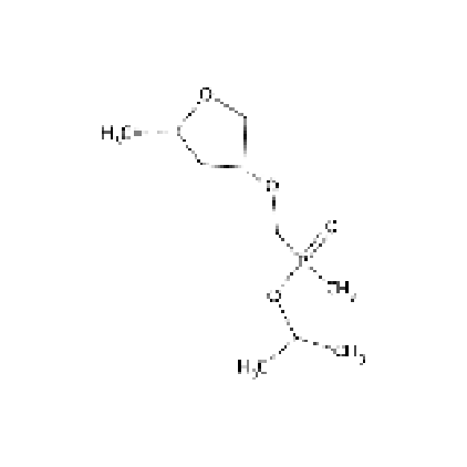 CC(C)OP(C)(=O)CO[C@H]1CO[C@@H](C)C1